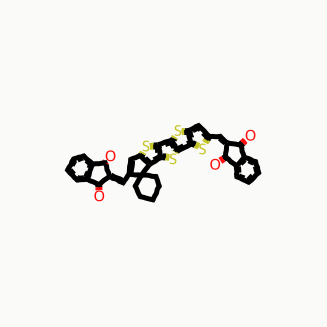 O=C1C(=CC2=Cc3sc4c(sc5c6sc(C=C7C(=O)c8ccccc8C7=O)cc6sc45)c3C23CCCCC3)C(=O)c2ccccc21